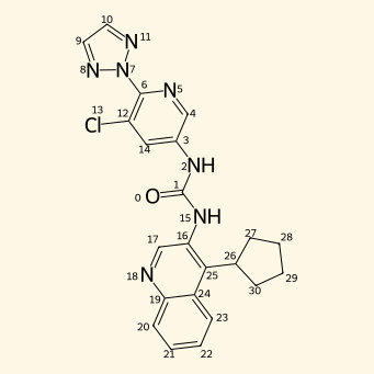 O=C(Nc1cnc(-n2nccn2)c(Cl)c1)Nc1cnc2ccccc2c1C1CCCC1